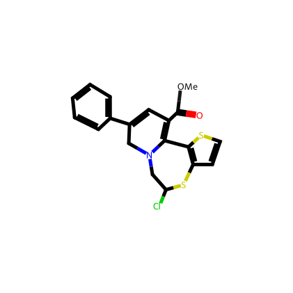 COC(=O)C1=C2c3sccc3SC(Cl)CN2CC(c2ccccc2)=C1